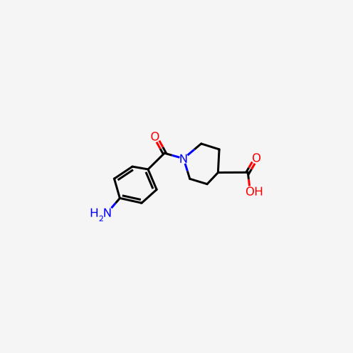 Nc1ccc(C(=O)N2CCC(C(=O)O)CC2)cc1